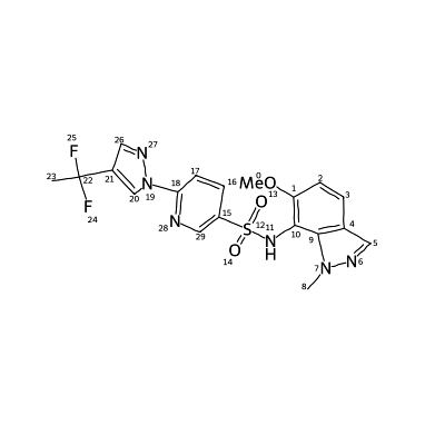 COc1ccc2cnn(C)c2c1NS(=O)(=O)c1ccc(-n2cc(C(C)(F)F)cn2)nc1